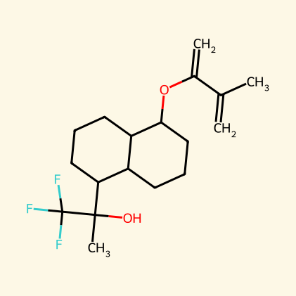 C=C(C)C(=C)OC1CCCC2C1CCCC2C(C)(O)C(F)(F)F